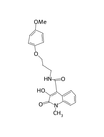 COc1ccc(OCCCNC(=O)c2c(O)c(=O)n(C)c3ccccc23)cc1